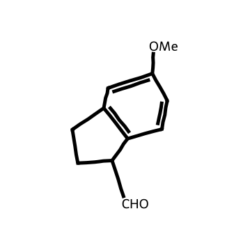 COc1ccc2c(c1)CCC2C=O